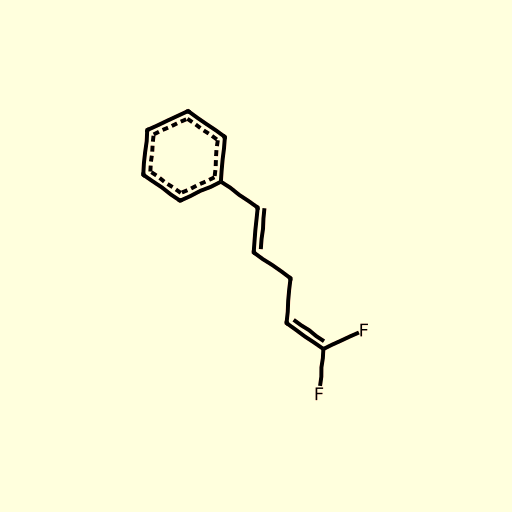 FC(F)=CCC=Cc1ccccc1